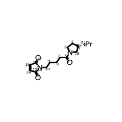 CC(C)[C@H]1CCN(C(=O)CCCCN2C(=O)C=CC2=O)C1